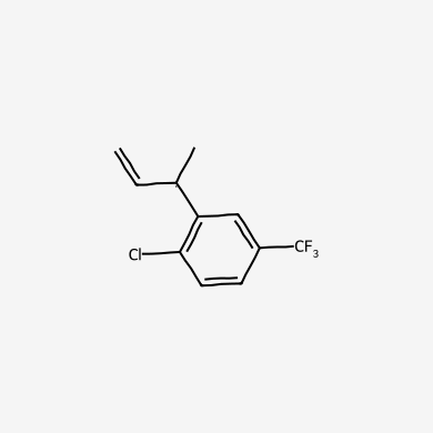 C=C[C](C)c1cc(C(F)(F)F)ccc1Cl